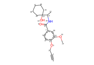 C#CCOc1ccc(C(=O)NC(C)C2(O)CCCCC2)cc1OC